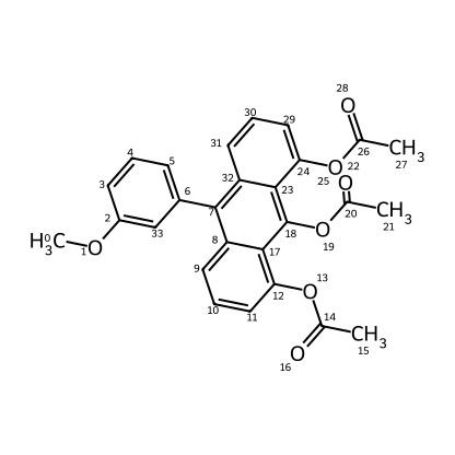 COc1cccc(-c2c3cccc(OC(C)=O)c3c(OC(C)=O)c3c(OC(C)=O)cccc23)c1